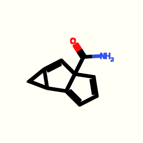 NC(=O)C12C=CC=C1C1CC1=C2